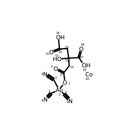 N#[C][Au]([C]#N)([C]#N)[O]C(=O)CC(O)(CC(=O)O)C(=O)O.[Co]